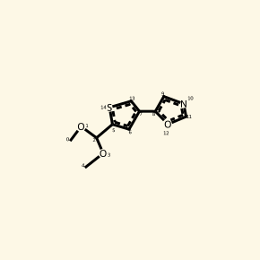 COC(OC)c1cc(-c2cnco2)cs1